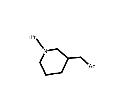 CC(=O)CC1CCCN(C(C)C)C1